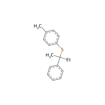 CCC(C)(Sc1ccc(C)cc1)c1ccccc1